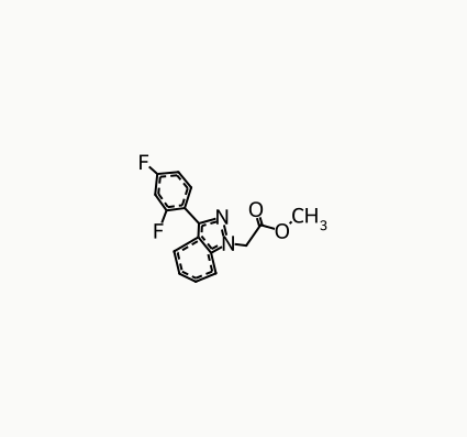 COC(=O)Cn1nc(-c2ccc(F)cc2F)c2ccccc21